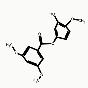 COc1cc(OC)cc(C(=O)Oc2ccc(OC)c(O)c2)c1